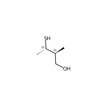 C[C@H](S)[C@@H](C)CO